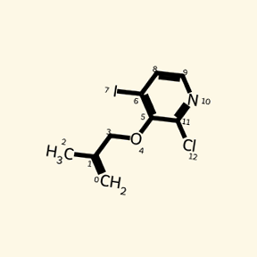 C=C(C)COc1c(I)ccnc1Cl